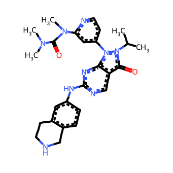 CC(C)n1c(=O)c2cnc(Nc3ccc4c(c3)CCNC4)nc2n1-c1ccnc(N(C)C(=O)N(C)C)c1